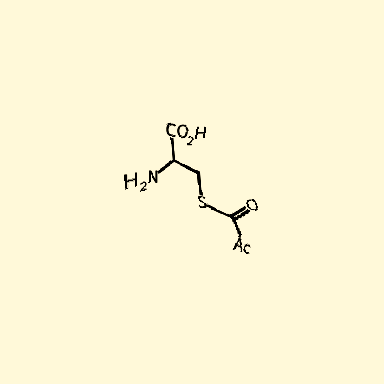 CC(=O)C(=O)SCC(N)C(=O)O